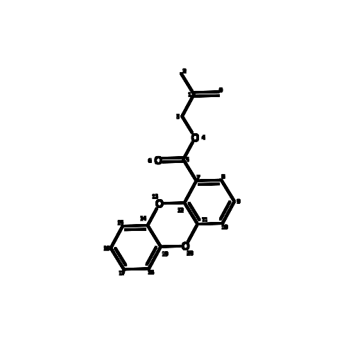 C=C(C)COC(=O)c1cccc2c1Oc1ccccc1O2